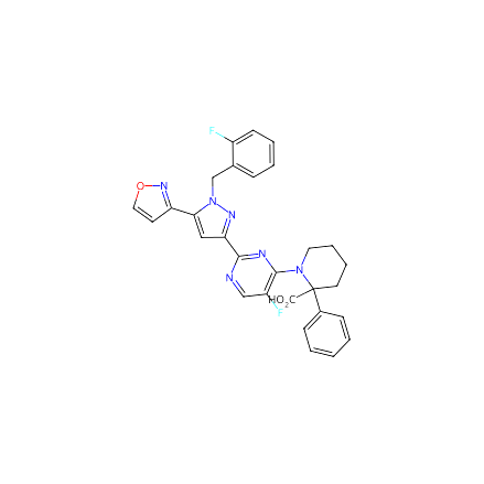 O=C(O)C1(c2ccccc2)CCCCN1c1nc(-c2cc(-c3ccon3)n(Cc3ccccc3F)n2)ncc1F